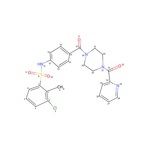 Cc1c(Cl)cccc1S(=O)(=O)Nc1ccc(C(=O)N2CCN(C(=O)c3ccccn3)CC2)cc1